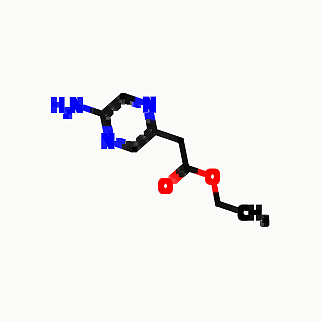 CCOC(=O)Cc1cnc(N)cn1